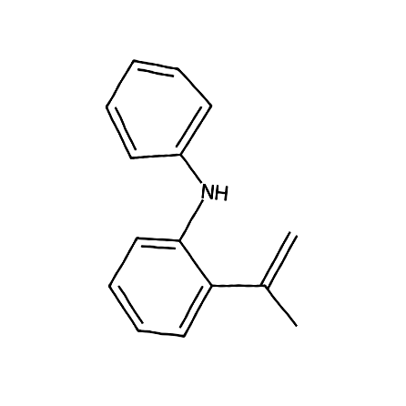 C=C(C)c1ccccc1Nc1ccccc1